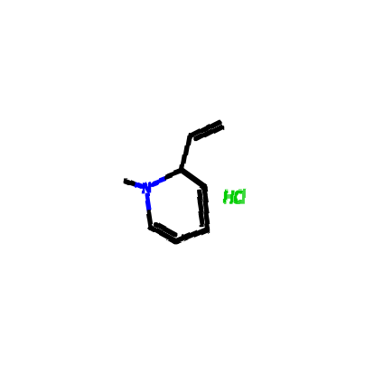 C=CC1C=CC=CN1C.Cl